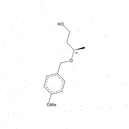 COc1ccc(CO[C@H](C)CCO)cc1